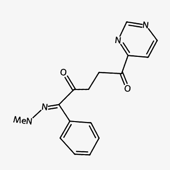 CN/N=C(/C(=O)CCC(=O)c1ccncn1)c1ccccc1